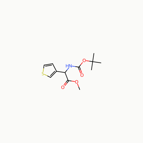 COC(=O)C(NC(=O)OC(C)(C)C)c1ccsc1